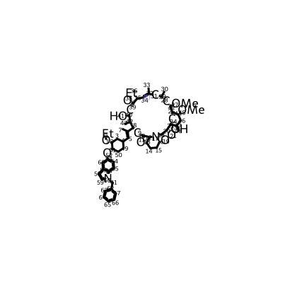 CCOC1CC(C=C(C)C2CC(=O)C3CCCCN3C(=O)C(=O)C3(O)CC(C(OC)CC(C)C/C(C)=C/C(CC)C(=O)CC(O)C2C)C(OC)CC3C)CCC1Oc1ccc2c(ccn2Cc2ccccc2)c1